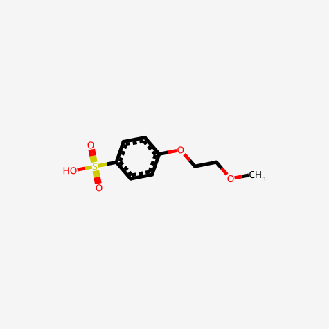 COCCOc1ccc(S(=O)(=O)O)cc1